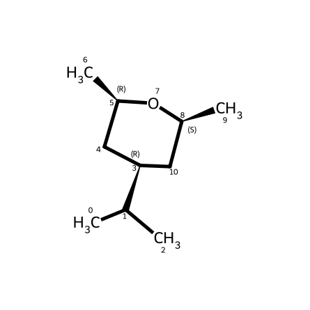 CC(C)[C@H]1C[C@@H](C)O[C@@H](C)C1